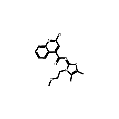 COCCn1c(C)c(C)sc1=NC(=O)c1cc(Cl)nc2ccccc12